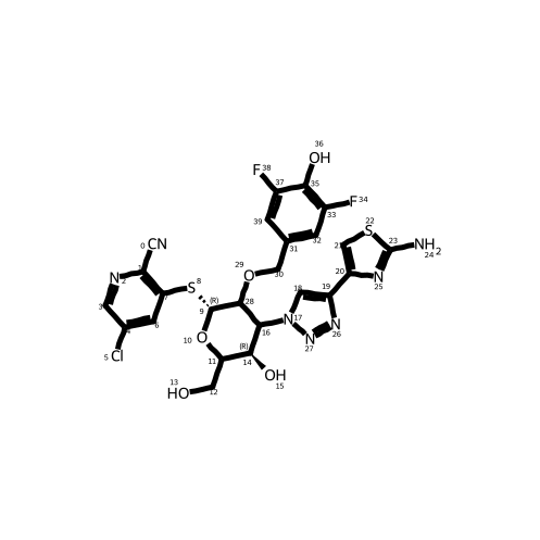 N#Cc1ncc(Cl)cc1S[C@H]1OC(CO)[C@H](O)C(n2cc(-c3csc(N)n3)nn2)C1OCc1cc(F)c(O)c(F)c1